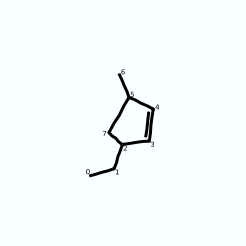 CCC1C=CC(C)C1